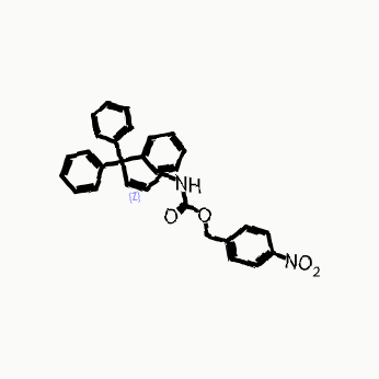 O=C(NC/C=C\C(c1ccccc1)(c1ccccc1)c1ccccc1)OCc1ccc([N+](=O)[O-])cc1